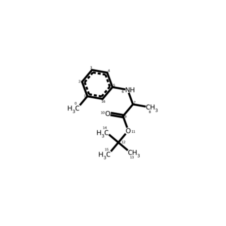 Cc1cccc(NC(C)C(=O)OC(C)(C)C)c1